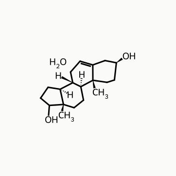 C[C@]12CC[C@H](O)CC1=CC[C@@H]1[C@@H]2CC[C@]2(C)C(O)CC[C@@H]12.O